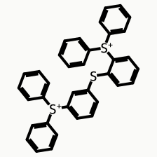 c1ccc([S+](c2ccccc2)c2cccc(Sc3ccccc3[S+](c3ccccc3)c3ccccc3)c2)cc1